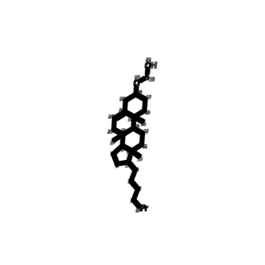 CC(C)CCCCC1CCC2C1(C)CCC1C3(C)CCC(OSO)CC3=CCC12C